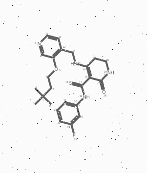 CC(C)(C)CCOc1cnccc1CNC1=C(C(=S)Nc2cccc(F)c2)C(=O)NCC1